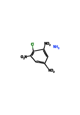 N.O=[N+]([O-])c1cc([N+](=O)[O-])c(Cl)c([N+](=O)[O-])c1